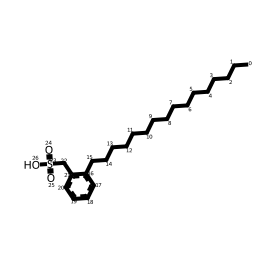 CCCCCCCCCCCCCCCCc1ccccc1CS(=O)(=O)O